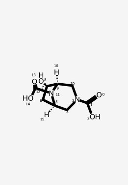 O=C(O)N1C[C@H]2C[C@@H](O)[C@@H](C1)N2C(=O)O